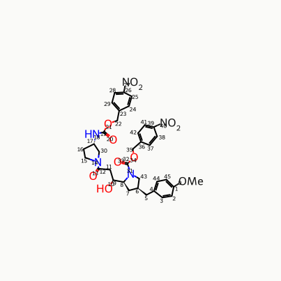 COc1ccc(C[C@H]2C[C@@H]([C@@H](O)CC(=O)N3CC[C@H](NC(=O)OCc4ccc([N+](=O)[O-])cc4)C3)N(C(=O)OCc3ccc([N+](=O)[O-])cc3)C2)cc1